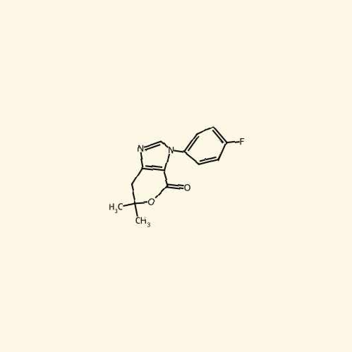 CC1(C)Cc2ncn(-c3ccc(F)cc3)c2C(=O)O1